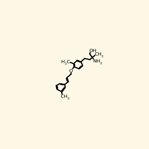 Cc1cccc(/C=C/COc2ccc(CCC(C)(N)CO)cc2C)c1